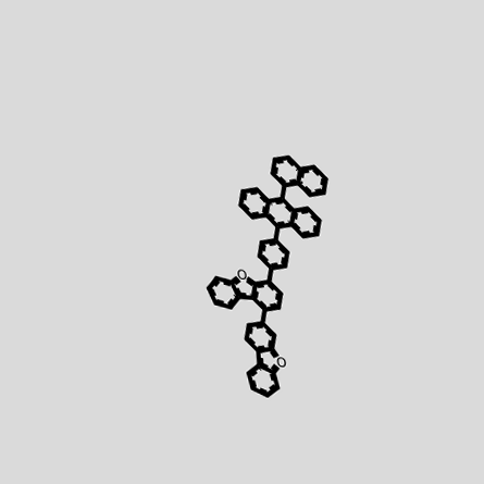 c1ccc2c(-c3c4ccccc4c(-c4ccc(-c5ccc(-c6ccc7c(c6)oc6ccccc67)c6c5oc5ccccc56)cc4)c4ccccc34)cccc2c1